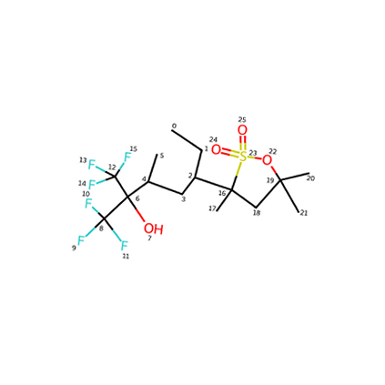 CCC(CC(C)C(O)(C(F)(F)F)C(F)(F)F)C1(C)CC(C)(C)OS1(=O)=O